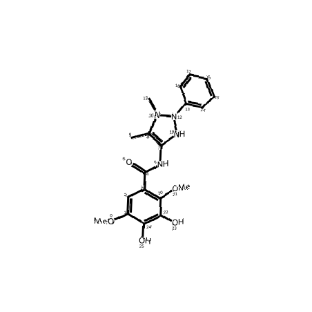 COc1cc(C(=O)NC2=C(C)N(C)N(c3ccccc3)N2)c(OC)c(O)c1O